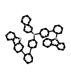 c1ccc(-c2ccc3c(c2)oc2ccccc23)c(-c2ccc(N(c3ccc(-c4ccccc4-n4c5ccccc5c5ccccc54)cc3)c3ccc4ccccc4c3)cc2)c1